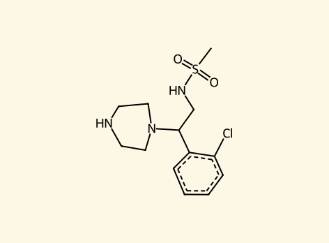 CS(=O)(=O)NCC(c1ccccc1Cl)N1CCNCC1